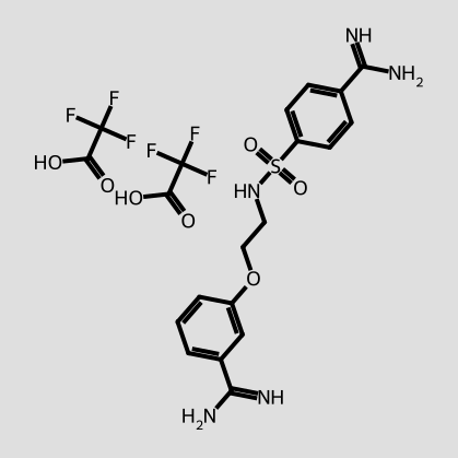 N=C(N)c1ccc(S(=O)(=O)NCCOc2cccc(C(=N)N)c2)cc1.O=C(O)C(F)(F)F.O=C(O)C(F)(F)F